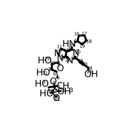 CC(CO)(OC[C@@H]1O[C@H](n2ncc3c(NC4CCCC4)nc(C#CCO)nc32)[C@@H](O)[C@H]1O)P(=O)(O)O